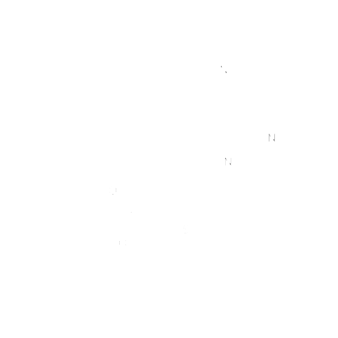 CCCCc1nc2cnccc2n1-c1csc(C(=O)OCC)c1